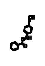 C#Cc1ccc(NOC(=O)c2ccccc2)cc1